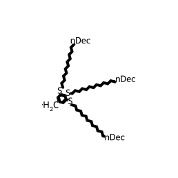 [CH2]c1cc(SCCCCCCCCCCCCCCCCCCCCCCC)c(SCCCCCCCCCCCCCCCCCCCCCCC)c(SCCCCCCCCCCCCCCCCCCCCCCC)c1